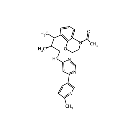 CC(=O)N1CCOc2c(C(C)[C@H](C)CNc3cc(-c4ccc(C)nc4)ncn3)cccc21